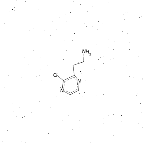 NCCc1nccnc1Cl